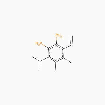 C=Cc1c(C)c(C)c(C(C)C)c(P)c1P